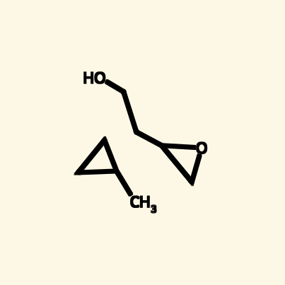 CC1CC1.OCCC1CO1